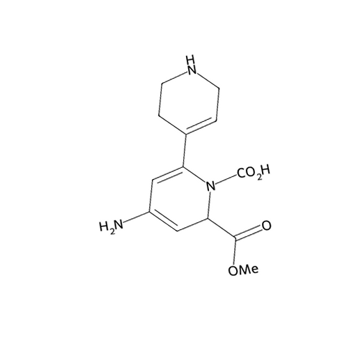 COC(=O)C1C=C(N)C=C(C2=CCNCC2)N1C(=O)O